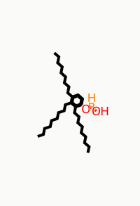 CCCCCCCCCc1ccc(OPO)c(CCCCCCCCC)c1CCCCCCCCC